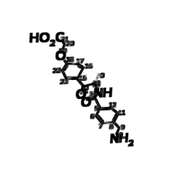 C[C@H](NC(=O)c1ccc(CN)cc1)C(=O)c1ccc(OCC(=O)O)cc1